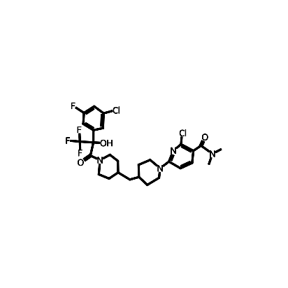 CN(C)C(=O)c1ccc(N2CCC(CC3CCN(C(=O)C(O)(c4cc(F)cc(Cl)c4)C(F)(F)F)CC3)CC2)nc1Cl